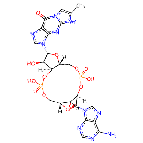 Cc1cn2c(=O)c3ncn([C@@H]4O[C@@H]5COP(=O)(O)O[C@@H]6[C@H](O)[C@@H](COP(=O)(O)O[C@H]5[C@H]4O)O[C@H]6n4cnc5c(N)ncnc54)c3nc2[nH]1